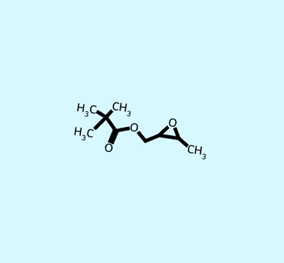 CC1OC1COC(=O)C(C)(C)C